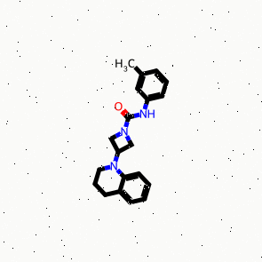 Cc1cccc(NC(=O)N2CC(N3CCCc4ccccc43)C2)c1